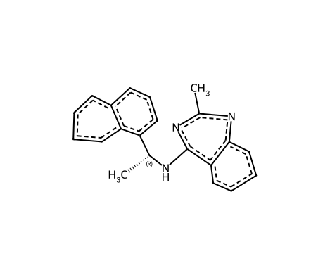 Cc1nc(N[C@H](C)c2cccc3ccccc23)c2ccccc2n1